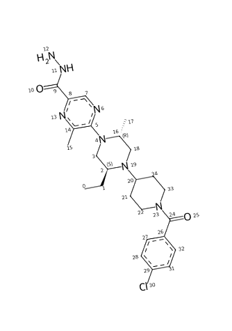 CC[C@H]1CN(c2ncc(C(=O)NN)nc2C)[C@H](C)CN1C1CCN(C(=O)c2ccc(Cl)cc2)CC1